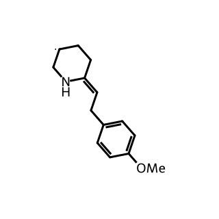 COc1ccc(CC=C2CC[CH]CN2)cc1